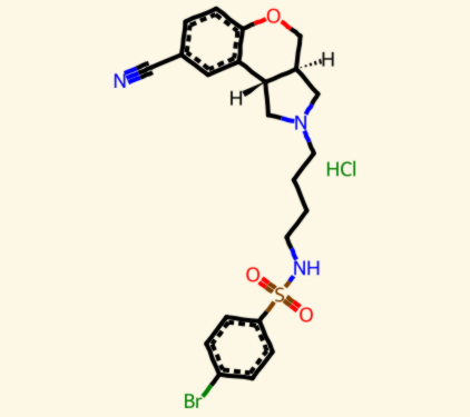 Cl.N#Cc1ccc2c(c1)[C@H]1CN(CCCCNS(=O)(=O)c3ccc(Br)cc3)C[C@@H]1CO2